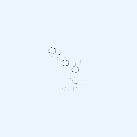 CNC(=O)C1(C)CC(c2ccc(C)c(-c3cnc(NC(=O)c4c(F)cccc4F)cn3)c2)=NO1